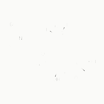 CC(=Cc1csc(CBr)n1)[C@@H]1C[C@@H]2O[C@@H]2CCC[C@H](C)[C@H](O)[C@@H](C)C(=O)C(C)(C)[C@@H](O)CC(=O)O1